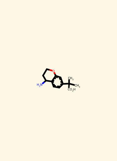 CC(C)(C(=O)O)c1ccc2c(c1)OCCC2N